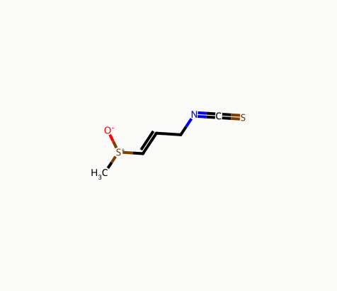 C[S+]([O-])C=CCN=C=S